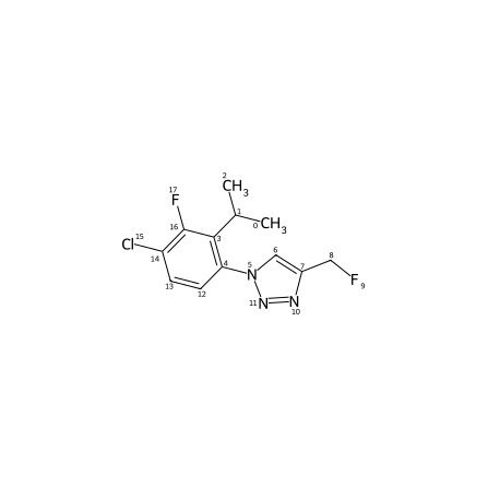 CC(C)c1c(-n2cc(CF)nn2)ccc(Cl)c1F